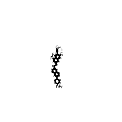 CCCC1CCC(c2ccc3cc(CCc4cc(F)c5c(F)c(C#CC(F)(F)F)c(F)cc5c4)ccc3c2)CC1